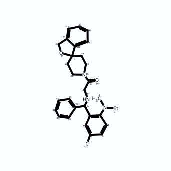 CCN(C)c1ccc(Cl)cc1C(NCC(=O)N1CCC2(CC1)OCc1ccccc12)c1ccccc1